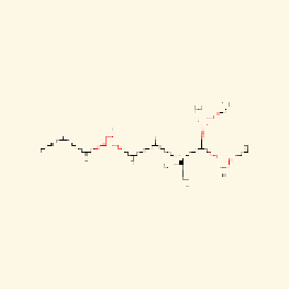 CCCOCC[SiH2]C(OC)OC